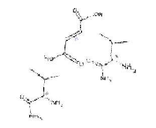 CC(C)[C@H](N)C(N)=O.CC(C)[C@H](N)C(N)=O.O=C(O)/C=C/C(=O)O